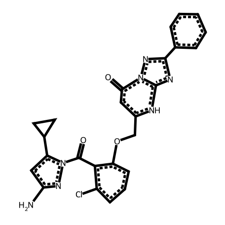 Nc1cc(C2CC2)n(C(=O)c2c(Cl)cccc2OCc2cc(=O)n3nc(-c4ccccc4)nc3[nH]2)n1